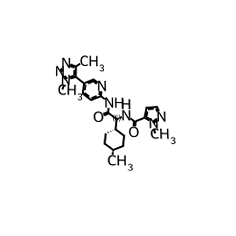 Cc1nnn(C)c1-c1ccc(NC(=O)[C@@H](NC(=O)c2ccnn2C)[C@H]2CC[C@H](C)CC2)nc1